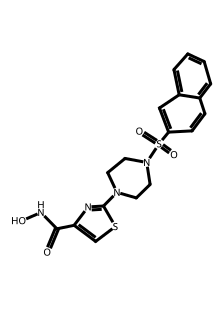 O=C(NO)c1csc(N2CCN(S(=O)(=O)c3ccc4ccccc4c3)CC2)n1